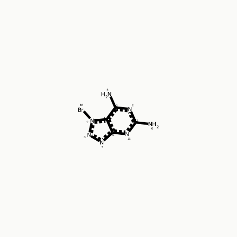 Nc1nc(N)c2c(nnn2Br)n1